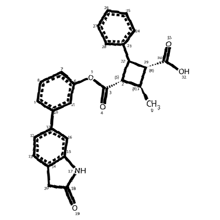 C[C@H]1[C@H](C(=O)Oc2cccc(-c3ccc4c(c3)NC(=O)C4)c2)C(c2ccccc2)[C@@H]1C(=O)O